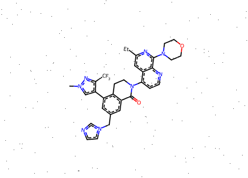 CCc1cc2c(N3CCc4c(cc(Cn5ccnc5)cc4-c4cn(C)nc4C(F)(F)F)C3=O)ccnc2c(N2CCOCC2)n1